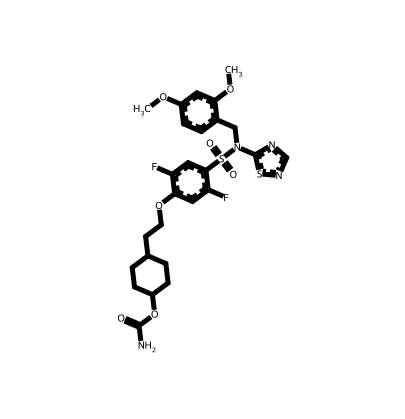 COc1ccc(CN(c2ncns2)S(=O)(=O)c2cc(F)c(OCCC3CCC(OC(N)=O)CC3)cc2F)c(OC)c1